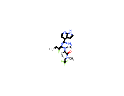 C=C/C(F)=C(\N=C(/N)C1C=CN=C2NC=CC21)N(C)[C@H](C)C(=O)N(C)CC(F)(F)F